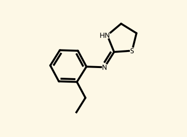 CCc1ccccc1N=C1NCCS1